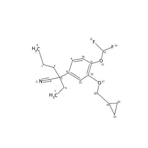 CCCC(C#N)(CC)c1ccc(OC(F)F)c(OCC2CC2)c1